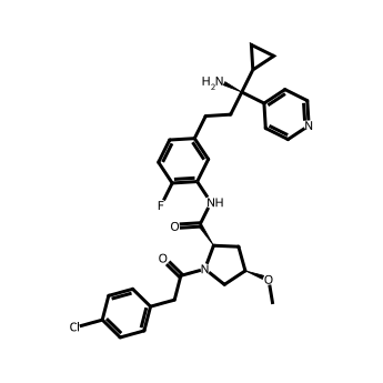 CO[C@@H]1C[C@H](C(=O)Nc2cc(CC[C@@](N)(c3ccncc3)C3CC3)ccc2F)N(C(=O)Cc2ccc(Cl)cc2)C1